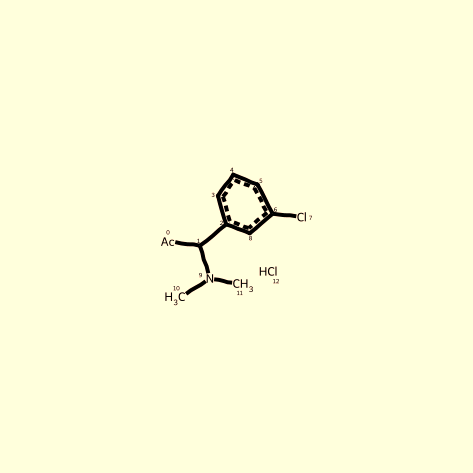 CC(=O)C(c1cccc(Cl)c1)N(C)C.Cl